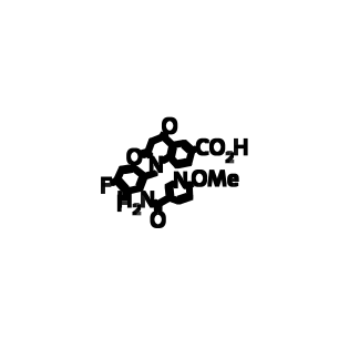 COc1ccc(C(N)=O)cn1.O=C(O)c1ccc2c(c1)C(=O)CC(=O)N2Cc1ccc(F)c(F)c1